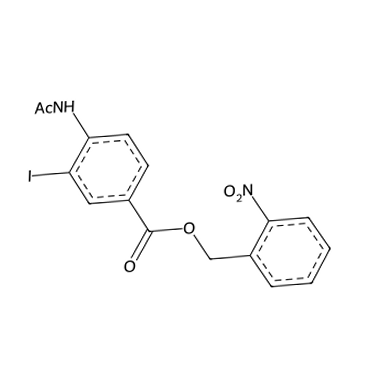 CC(=O)Nc1ccc(C(=O)OCc2ccccc2[N+](=O)[O-])cc1I